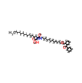 CCCCCCCCCCCCCCC(CC(=O)O)C(=O)NCCCCCCCCCCCCOCc1ccccc1C(=O)c1ccccc1